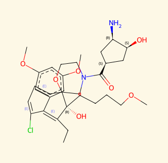 CC\C1=C(c2cc(OC)cc(OC)c2)/C(Cl)=C\C=C\C2(CN(C(=O)[C@H]3C[C@@H](N)[C@@H](O)C3)CCO2)[C@@]1(O)CCCCOC